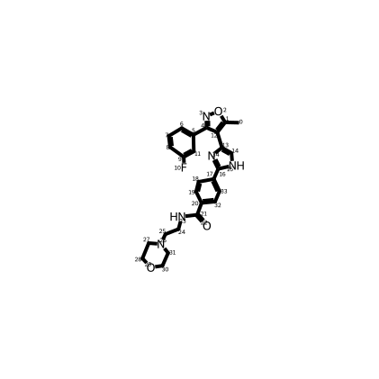 Cc1onc(-c2cccc(F)c2)c1-c1c[nH]c(-c2ccc(C(=O)NCCN3CCOCC3)cc2)n1